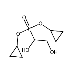 O=P(OC1CC1)(OC1CC1)C(O)CO